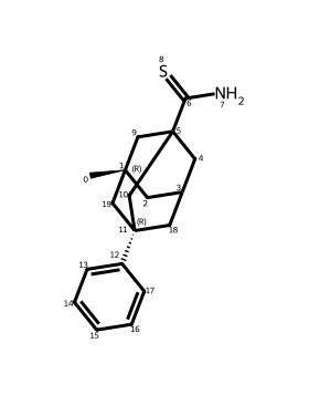 C[C@]12CC3CC(C(N)=S)(C1)C[C@@](c1ccccc1)(C3)C2